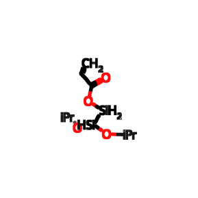 C=CC(=O)O[SiH2][SiH](OC(C)C)OC(C)C